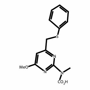 COc1cc(CSc2ccccc2)nc(N(C)C(=O)O)n1